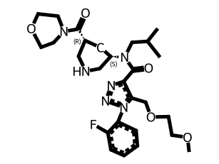 COCCOCc1c(C(=O)N(CC(C)C)[C@@H]2CNC[C@H](C(=O)N3CCOCC3)C2)nnn1-c1ccccc1F